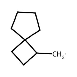 [CH2]C1CCC12CCCC2